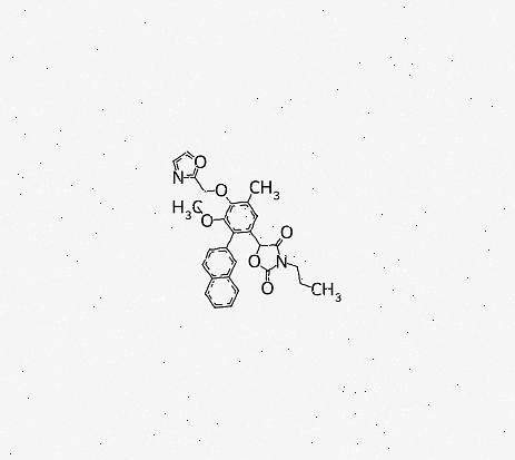 CCCN1C(=O)OC(c2cc(C)c(OCc3ncco3)c(OC)c2-c2ccc3ccccc3c2)C1=O